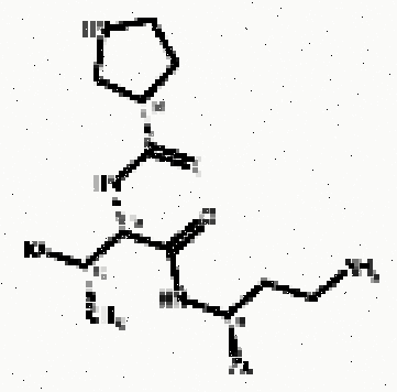 CC(=O)[C@H](CCN)NC(=O)[C@@H](NC(=O)[C@H]1CCNC1)[C@H](C)O